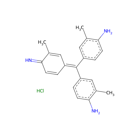 CC1=CC(=C(c2ccc(N)c(C)c2)c2ccc(N)c(C)c2)C=CC1=N.Cl